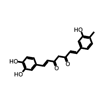 Cc1ccc(/C=C/C(=O)CC(=O)/C=C/c2ccc(O)c(O)c2)cc1O